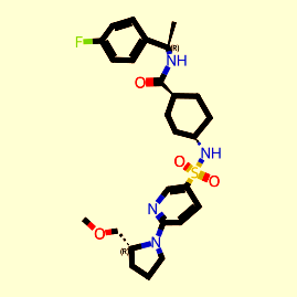 COC[C@H]1CCCN1c1ccc(S(=O)(=O)N[C@H]2CC[C@H](C(=O)N[C@H](C)c3ccc(F)cc3)CC2)cn1